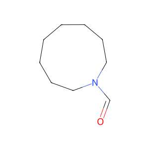 O=CN1CCCCCCCC1